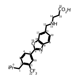 CC(C)Cc1ccc(-c2nc3ccc(CNCCC(=O)O)cc3o2)cc1C(F)(F)F